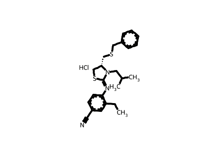 CCc1cc(C#N)ccc1N=C1SC[C@H](CSCc2ccccc2)N1CC(C)C.Cl